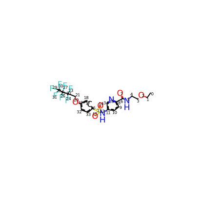 CCOCCNC(=O)c1ccc(NS(=O)(=O)c2ccc(OCC(F)(F)C(F)(F)C(F)(F)F)cc2)cn1